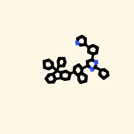 c1ccc(-c2nc(-c3cccc(-c4cccnc4)c3)cc(-c3ccc(-c4ccc5c(c4)C(c4ccccc4)(c4ccccc4)c4ccccc4-5)c4ccccc34)n2)cc1